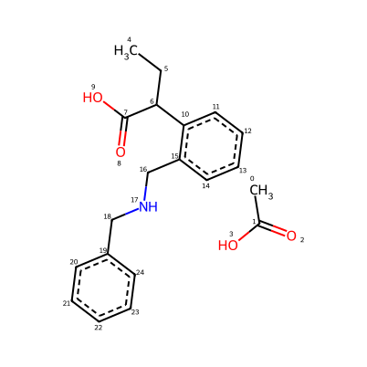 CC(=O)O.CCC(C(=O)O)c1ccccc1CNCc1ccccc1